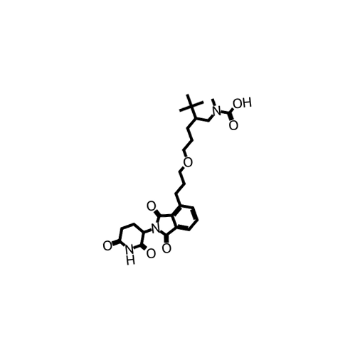 CN(CC(CCCOCCCc1cccc2c1C(=O)N(C1CCC(=O)NC1=O)C2=O)C(C)(C)C)C(=O)O